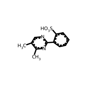 Cc1cnc(-c2ccccc2S(=O)(=O)O)nc1C